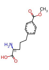 COC(=O)c1ccc(CCC[C@H](N)C(=O)O)cc1